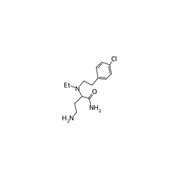 CCN(CCc1ccc(Cl)cc1)C(CCN)C(N)=O